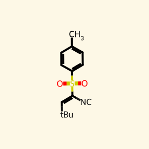 [C-]#[N+]C(=CC(C)(C)C)S(=O)(=O)c1ccc(C)cc1